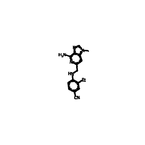 CCc1cc(C#N)ccc1NCc1cc2c(ncn2C)c(N)n1